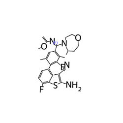 C=C(/N=C(\c1cc(C)c(-c2ccc(F)c3sc(N)c(C#N)c23)c(F)c1C)N1CCOCCC1C)OC